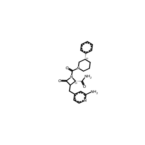 NC(=O)[C@@H]1C(Cc2ccnc(N)c2)C(=O)N1C(=O)N1CCC[C@@H](c2ccccc2)C1